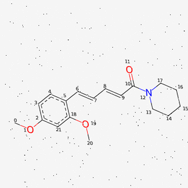 COc1ccc(C=CC=CC(=O)N2CCCCC2)c(OC)c1